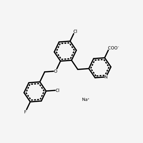 O=C([O-])c1cncc(Cc2cc(Cl)ccc2OCc2ccc(F)cc2Cl)c1.[Na+]